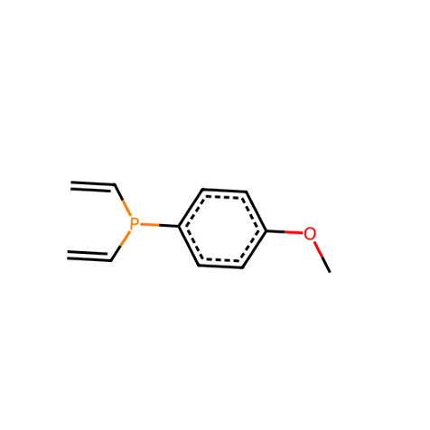 C=CP(C=C)c1ccc(OC)cc1